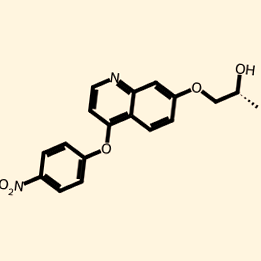 C[C@@H](O)COc1ccc2c(Oc3ccc([N+](=O)[O-])cc3)ccnc2c1